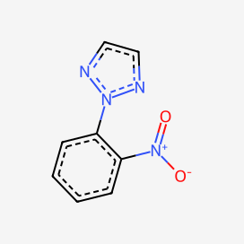 O=[N+]([O-])c1ccccc1-n1nccn1